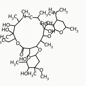 CCC1OC(=O)C(CO)C(OC2CC(C)(OC)C(O)C(C)O2)C(C)C(OC2OC(C)CC(N(C)C)C2O)C(C)(O)CC(C)CN(C)C(C)C(O)C1(C)O